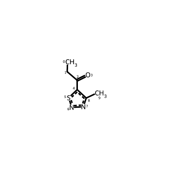 CCC(=O)c1snnc1C